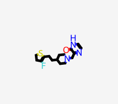 O=c1[nH]ccnc1CN1CCC(CCC2=C(F)CCS2)CC1